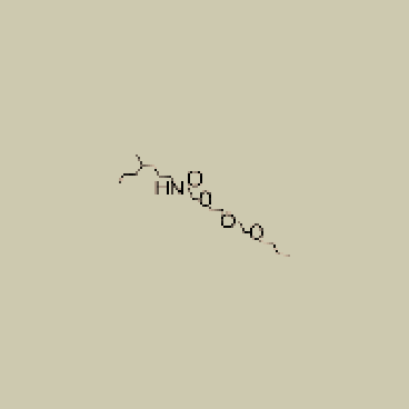 CCCCOCCOCCOCC(=O)NCCCC(CC)CCC